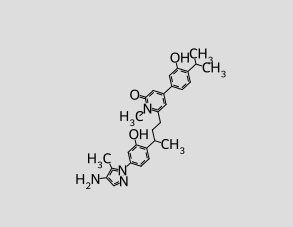 Cc1c(N)cnn1-c1ccc(C(C)CCc2cc(-c3ccc(C(C)C)c(O)c3)cc(=O)n2C)c(O)c1